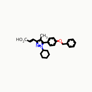 Cc1c(/C=C/C(=O)O)nn(C2CCCCC2)c1-c1ccc(OCc2ccccc2)cc1